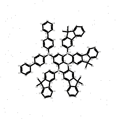 CC1(C)c2ccccc2-c2cc(N3c4cc5c(cc4B4c6cc7c(cc6N(c6ccc8c(c6)-c6ccccc6C8(C)C)c6cc(N(c8ccc(-c9ccccc9)cc8)c8ccc(-c9ccccc9)cc8)cc3c64)-c3ccccc3C7(C)C)C(C)(C)c3ccccc3-5)ccc21